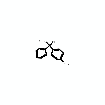 Cc1ccc(C(O)(C=O)c2ccccc2)cc1